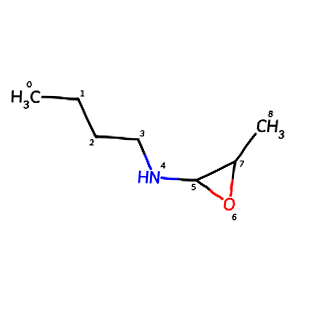 CCCCNC1OC1C